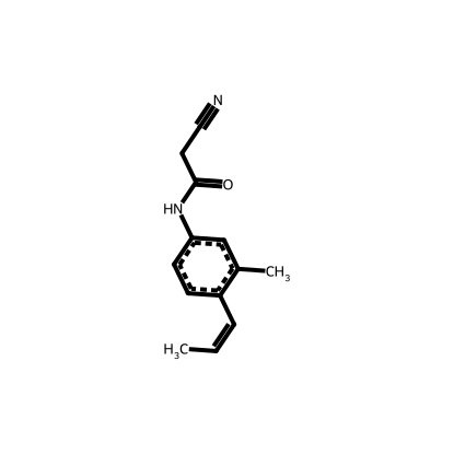 C/C=C\c1ccc(NC(=O)CC#N)cc1C